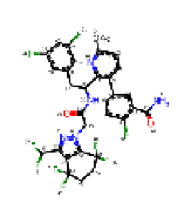 CC(=O)Oc1ccc(-c2ccc(F)c(C(N)=O)c2)c(C(Cc2cc(F)cc(F)c2)NC(=O)Cn2nc(C(F)F)c3c2C(F)(F)CCC3(F)F)n1